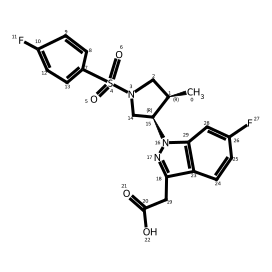 C[C@@H]1CN(S(=O)(=O)c2ccc(F)cc2)C[C@@H]1n1nc(CC(=O)O)c2ccc(F)cc21